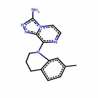 Cc1ccc2c(c1)N(c1nccn3c(N)nnc13)CCC2